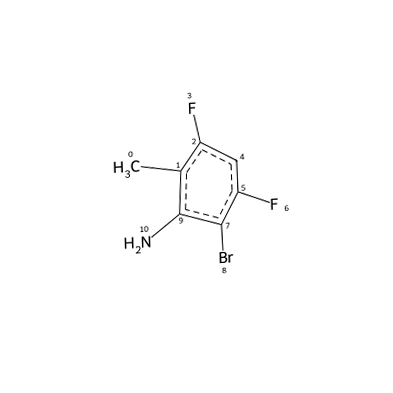 Cc1c(F)cc(F)c(Br)c1N